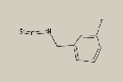 Fc1cccc(CN=C=S)c1